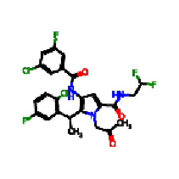 CC(=O)Cn1c(C(=O)NCC(F)F)cc(NC(=O)c2cc(F)cc(Cl)c2)c1[C@@H](C)c1cc(F)ccc1Cl